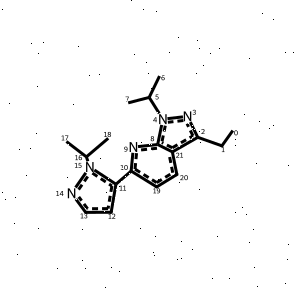 CCc1nn(C(C)C)c2nc(-c3ccnn3C(C)C)ccc12